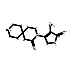 CC1=C(N2CCC3(CCNCC3)CC2=O)COC1=O